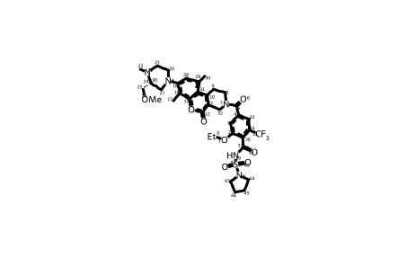 CCOc1cc(C(=O)N2CCc3c(c(=O)oc4c(C)c(N5CCN(C)[C@@H](COC)C5)cc(C)c34)C2)cc(C(F)(F)F)c1C(=O)NS(=O)(=O)N1CCCC1